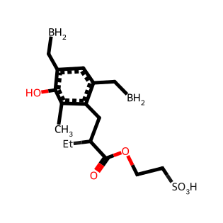 BCc1cc(CB)c(CC(CC)C(=O)OCCS(=O)(=O)O)c(C)c1O